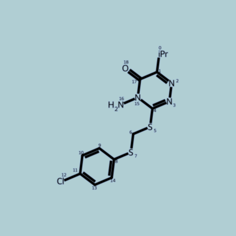 CC(C)c1nnc(SCSc2ccc(Cl)cc2)n(N)c1=O